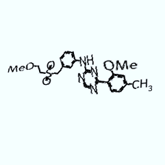 COCCS(=O)(=O)Cc1cccc(Nc2ncnc(-c3ccc(C)cc3OC)n2)c1